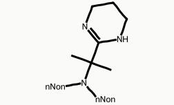 CCCCCCCCCN(CCCCCCCCC)C(C)(C)C1=NCCCN1